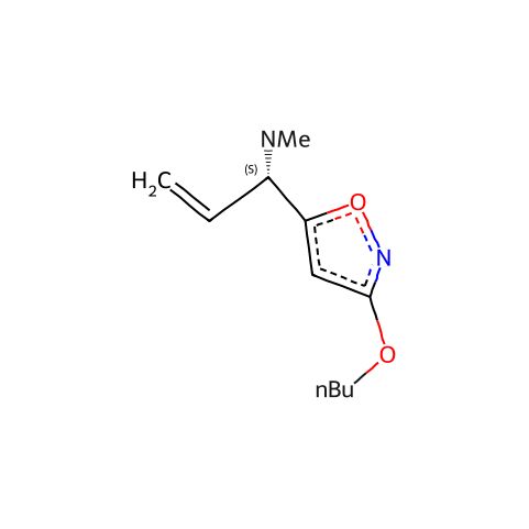 C=C[C@H](NC)c1cc(OCCCC)no1